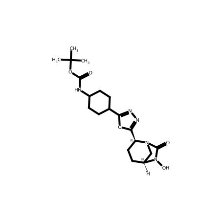 CC(C)(C)OC(=O)NC1CCC(c2nnc([C@@H]3CC[C@H]4CN3C(=O)N4O)o2)CC1